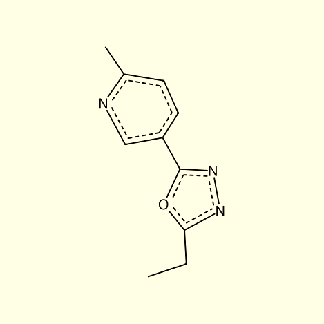 CCc1nnc(-c2ccc(C)nc2)o1